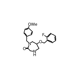 COc1ccc(CN2CC(OCc3ccccc3F)CNCC2=O)cc1